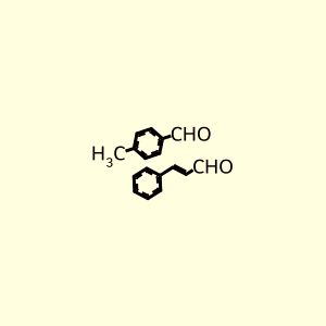 Cc1ccc(C=O)cc1.O=C/C=C/c1ccccc1